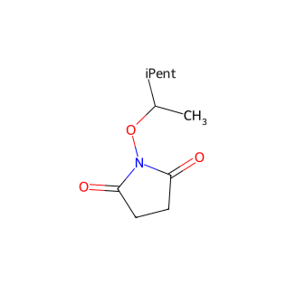 CCCC(C)C(C)ON1C(=O)CCC1=O